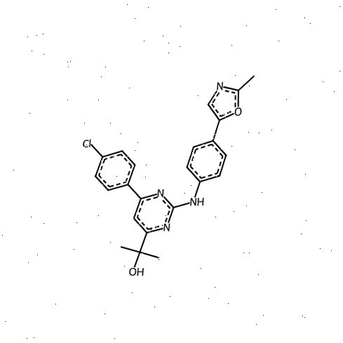 Cc1ncc(-c2ccc(Nc3nc(-c4ccc(Cl)cc4)cc(C(C)(C)O)n3)cc2)o1